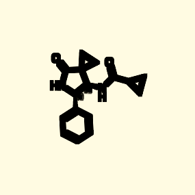 O=C(N[C@H]1[C@H](c2ccccc2)NC(=O)C12CC2)C1CC1